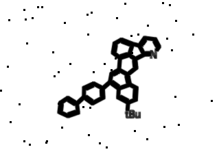 CC(C)(C)c1ccc2c(c1)c(-c1ccc(-c3ccccc3)cc1)cc1c3cccc4c3c(cc21)-c1ncccc1-4